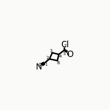 N#CC1CC(C(=O)Cl)C1